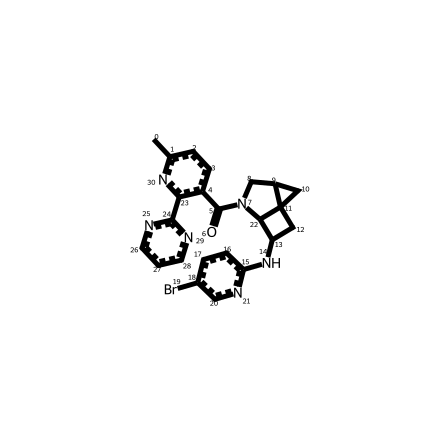 Cc1ccc(C(=O)N2CC3CC34CC(Nc3ccc(Br)cn3)C24)c(-c2ncccn2)n1